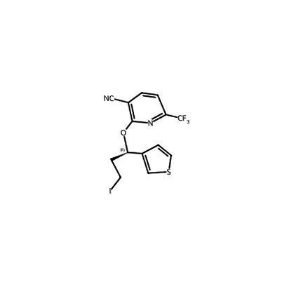 N#Cc1ccc(C(F)(F)F)nc1O[C@H](CCI)c1ccsc1